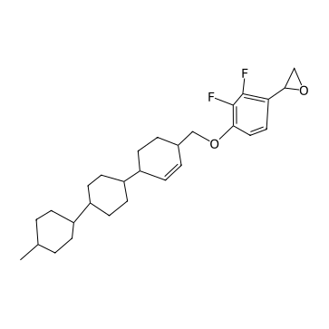 CC1CCC(C2CCC(C3C=CC(COc4ccc(C5CO5)c(F)c4F)CC3)CC2)CC1